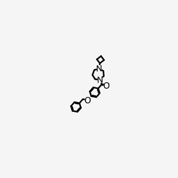 O=C(c1ccc(OCc2ccccc2)cc1)N1CCCN(C2CCC2)CC1